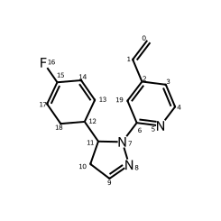 C=Cc1ccnc(N2N=CCC2C2C=CC(F)=CC2)c1